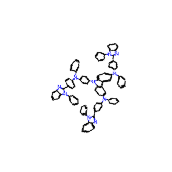 c1ccc(N(c2ccc(-c3nc4ccccc4n3-c3ccccc3)cc2)c2ccc(-n3c4ccc(N(c5ccccc5)c5ccc(-c6nc7ccccc7n6-c6ccccc6)cc5)cc4c4cc(N(c5ccccc5)c5ccc(-c6nc7ccccc7n6-c6ccccc6)cc5)ccc43)cc2)cc1